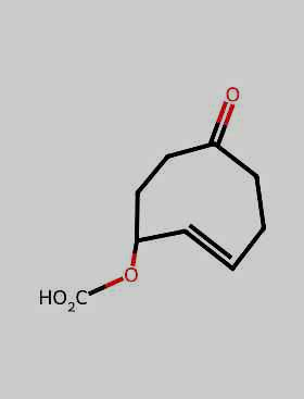 O=C1CC/C=C/C(OC(=O)O)CC1